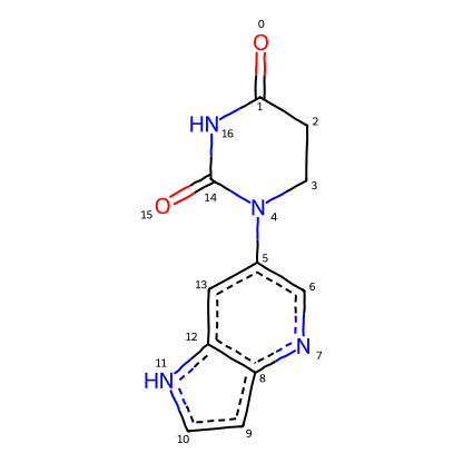 O=C1CCN(c2cnc3cc[nH]c3c2)C(=O)N1